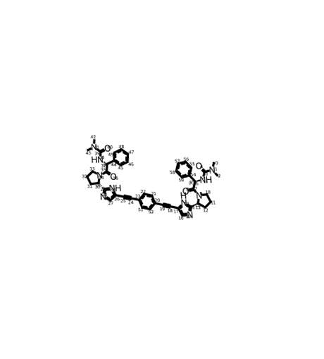 CN(C)C(=O)N[C@@H](C(=O)N1CCC[C@H]1c1ncc(C#Cc2ccc(C#Cc3cnc([C@@H]4CCCN4C(=O)[C@H](NC(=O)N(C)C)c4ccccc4)[nH]3)cc2)[nH]1)c1ccccc1